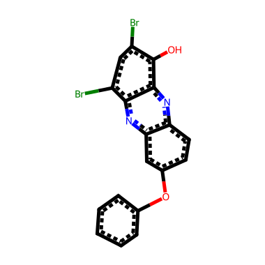 Oc1c(Br)cc(Br)c2nc3cc(Oc4ccccc4)ccc3nc12